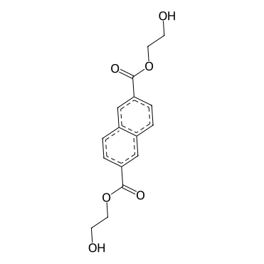 O=C(OCCO)c1ccc2cc(C(=O)OCCO)ccc2c1